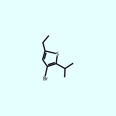 CCc1cc(Br)c(C(C)C)s1